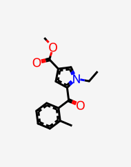 CCn1cc(C(=O)OC)cc1C(=O)c1ccccc1C